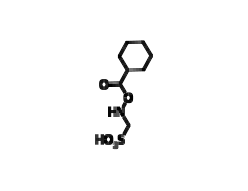 O=C(ONCS(=O)(=O)O)C1CCCCC1